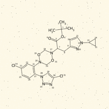 CC(C)(C)OC(=O)C(Cc1ccn(C2CC2)n1)N1CON(c2cc(Cl)ccc2-n2cc(Cl)nn2)CO1